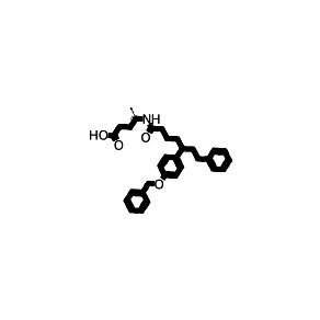 C[C@@H](CCC(=O)O)NC(=O)CCCC(CCc1ccccc1)c1ccc(OCc2ccccc2)cc1